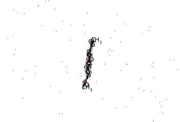 CCC(=O)OCCCCOc1ccc(C(=O)Oc2ccc(OC(=O)c3ccc(OCCCCOC(=O)CC)cc3)cc2)cc1